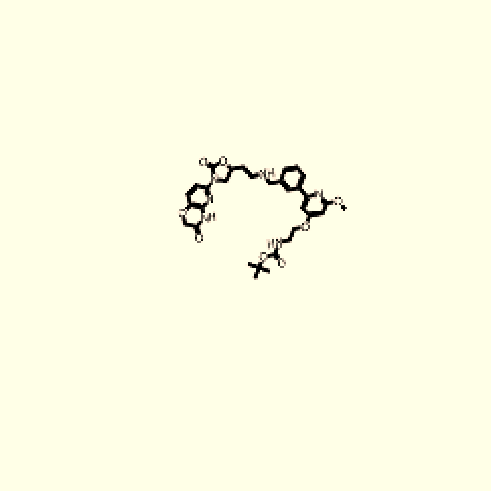 COc1cc(OCCNC(=O)OC(C)(C)C)cc(-c2cccc(CNCCC3CN(c4ccc5c(n4)NC(=O)CO5)C(=O)O3)c2)n1